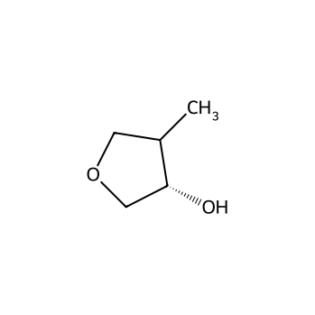 CC1COC[C@H]1O